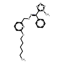 CCCCCCOc1cccc(CO/N=C(\c2ccccc2)c2nnnn2C)n1